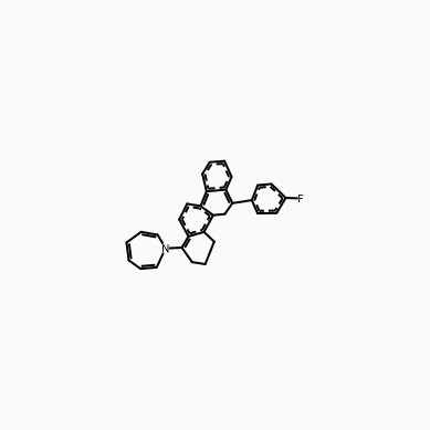 Fc1ccc(C2=c3ccccc3=c3ccc4c(c3C2)CCCC=4N2C=CC=CC=C2)cc1